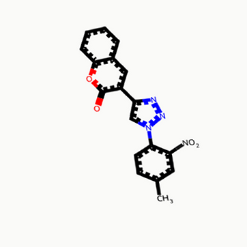 Cc1ccc(-n2cc(-c3cc4ccccc4oc3=O)nn2)c([N+](=O)[O-])c1